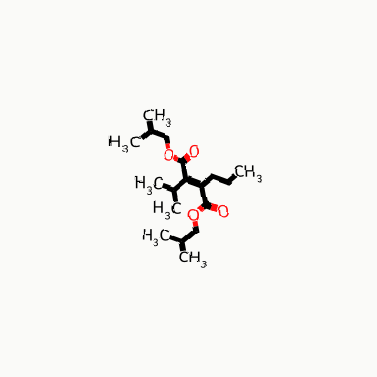 CCCC(C(=O)OCC(C)C)=C(C(=O)OCC(C)C)C(C)C